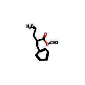 C=CCC(=Cc1ccccc1)C(=O)OC=O